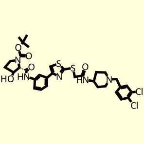 CC(C)(C)OC(=O)N1CCC(O)[C@H]1C(=O)Nc1cccc(-c2csc(SCC(=O)NC3CCN(Cc4ccc(Cl)c(Cl)c4)CC3)n2)c1